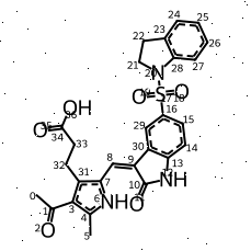 CC(=O)c1c(C)[nH]c(C=C2C(=O)Nc3ccc(S(=O)(=O)N4CCc5ccccc54)cc32)c1CCC(=O)O